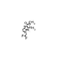 COC(=O)c1nc2c(nc1N)N(CC(F)F)CC2